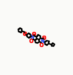 O=C1c2ccc3c4c(ccc(c24)C(=O)N1c1ccc(OCc2ccccc2)cc1)C(=O)N(c1ccc(C2=CCC=C2)cc1)C3=O